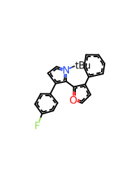 CC(C)(C)n1ccc(-c2ccc(F)cc2)c1-c1occc1-c1ccccc1